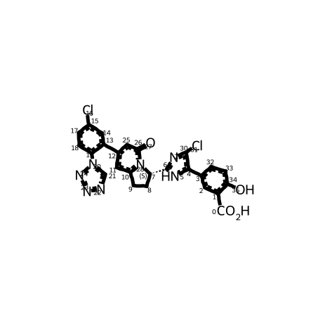 O=C(O)c1cc(-c2[nH]c([C@@H]3CCc4cc(-c5cc(Cl)ccc5-n5cnnn5)cc(=O)n43)nc2Cl)ccc1O